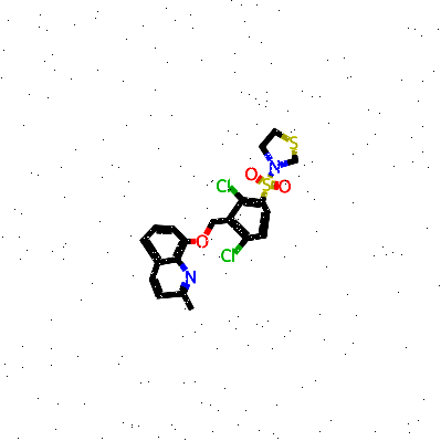 Cc1ccc2cccc(OCc3c(Cl)ccc(S(=O)(=O)N4CCSC4)c3Cl)c2n1